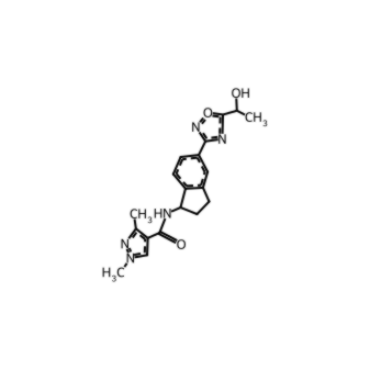 Cc1nn(C)cc1C(=O)NC1CCc2cc(-c3noc(C(C)O)n3)ccc21